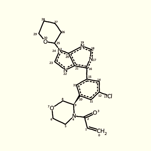 C=CC(=O)N1CCOC[C@H]1c1cc(Cl)cc(-c2ncnc3c2ncn3C2CCCCO2)c1